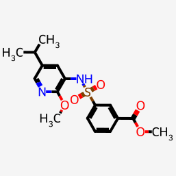 COC(=O)c1cccc(S(=O)(=O)Nc2cc(C(C)C)cnc2OC)c1